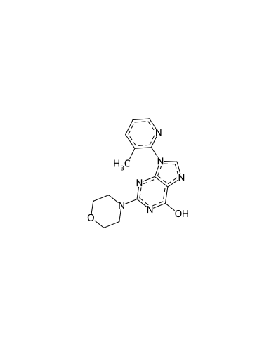 Cc1cccnc1-n1cnc2c(O)nc(N3CCOCC3)nc21